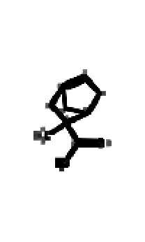 CC1(C(=O)O)CC2=CCC1C2